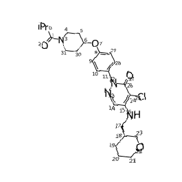 CC(C)C(=O)N1CCC(Oc2ccc(-n3ncc(NC[C@@H]4CCCOC4)c(Cl)c3=O)cc2)CC1